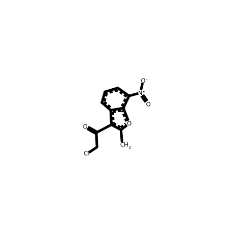 Cc1oc2c([N+](=O)[O-])cccc2c1C(=O)CCl